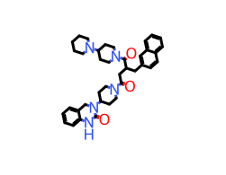 O=C(CC(Cc1ccc2ccccc2c1)C(=O)N1CCC(N2CCCCC2)CC1)N1CCC(N2Cc3ccccc3NC2=O)CC1